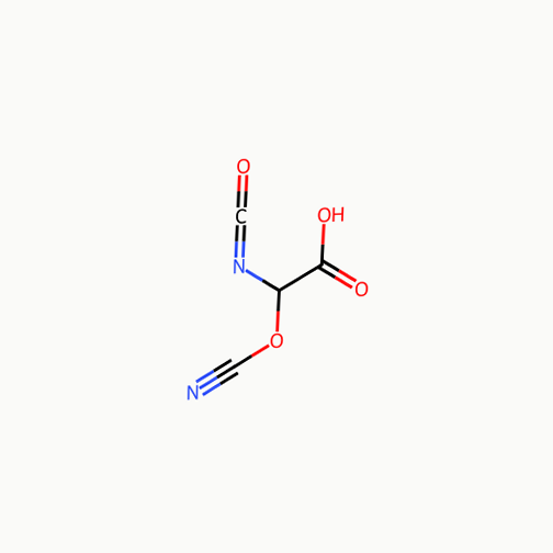 N#COC(N=C=O)C(=O)O